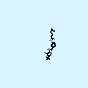 CC(=O)OCCC(=O)Nc1cccc(-c2nn3nc(C(C)(C)C)c(Cl)c3[nH]2)c1